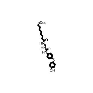 CCCCCCCCCCCCCCCCCC(=O)NCNC(=O)Nc1ccc(Sc2ccc(O)cc2)cc1